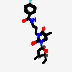 CC[C@H]1O[C@@H](n2cc(C)c(=O)n(CCCNC(=O)c3ccc(F)cc3)c2=O)C[C@@H]1C